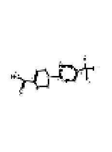 O=C(O)C1=CCN(c2ncc(C(F)(F)F)cn2)CC1